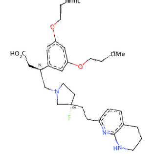 COCCOc1cc(OCCOC)cc([C@H](CC(=O)O)CN2CC[C@@](F)(CCc3ccc4c(n3)NCCC4)C2)c1